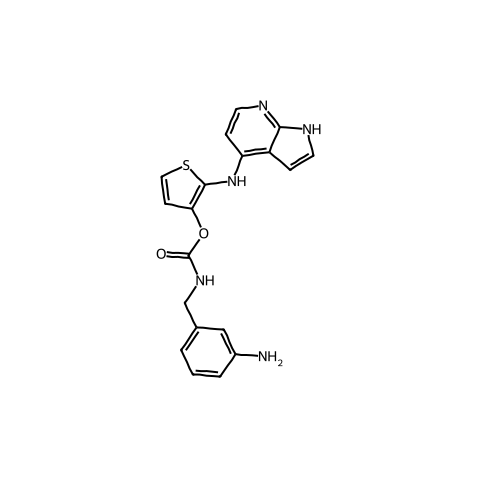 Nc1cccc(CNC(=O)Oc2ccsc2Nc2ccnc3[nH]ccc23)c1